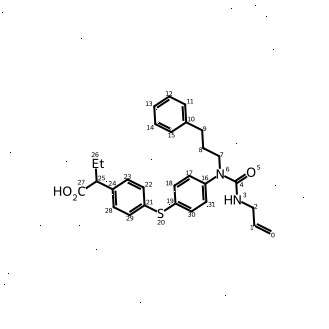 C=CCNC(=O)N(CCCc1ccccc1)c1ccc(Sc2ccc(C(CC)C(=O)O)cc2)cc1